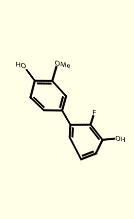 COc1cc(-c2cc[c]c(O)c2F)ccc1O